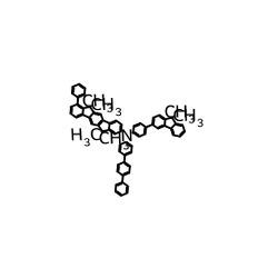 CC1(C)c2ccccc2-c2cc(-c3ccc(N(c4ccc(-c5ccc(-c6ccccc6)cc5)cc4)c4ccc5c(c4)C(C)(C)c4cc6c(cc4-5)C(C)(C)c4c(-c5ccccc5)cccc4-6)cc3)ccc21